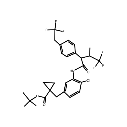 CC(C(C(=O)Nc1cc(CC2(C(=O)OC(C)(C)C)CC2)ccc1Cl)c1ccc(CC(F)(F)F)cc1)C(F)(F)F